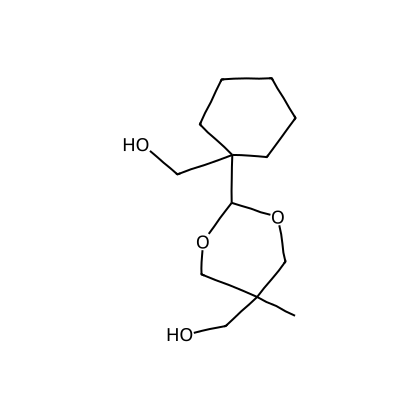 CC1(CO)COC(C2(CO)CCCCC2)OC1